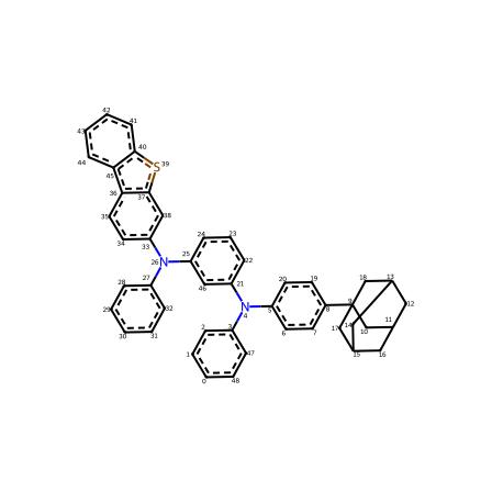 c1ccc(N(c2ccc(C34CC5CC(CC(C5)C3)C4)cc2)c2cccc(N(c3ccccc3)c3ccc4c(c3)sc3ccccc34)c2)cc1